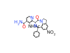 CC(=O)Nc1c(C(N)=O)ccnc1C1N=C(c2ccccc2)c2cc([N+](=O)[O-])cc3c2N(CC3)C1=O